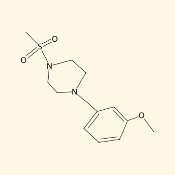 COc1cccc(N2CCN(S(C)(=O)=O)CC2)c1